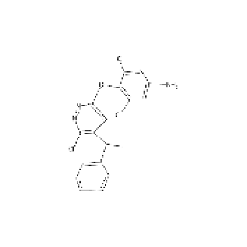 CC(c1ccccc1)c1cc(Oc2c(Cl)cc(N)cc2Cl)nnc1Cl